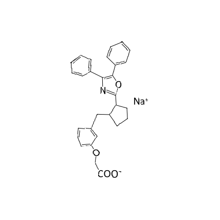 O=C([O-])COc1cccc(CC2CCCC2c2nc(-c3ccccc3)c(-c3ccccc3)o2)c1.[Na+]